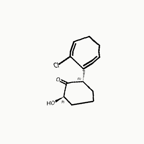 O=C1[C@H](C2=CCCC=C2Cl)CCC[C@H]1O